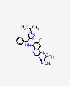 CC[C@H](C)Nc1c(C#N)cnc2c(N[C@@H](c3ccccc3)c3cn(C(C)C)nn3)cc(Cl)cc12